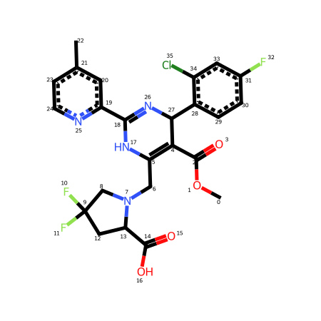 COC(=O)C1=C(CN2CC(F)(F)CC2C(=O)O)NC(c2cc(C)ccn2)=NC1c1ccc(F)cc1Cl